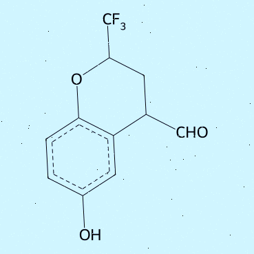 O=CC1CC(C(F)(F)F)Oc2ccc(O)cc21